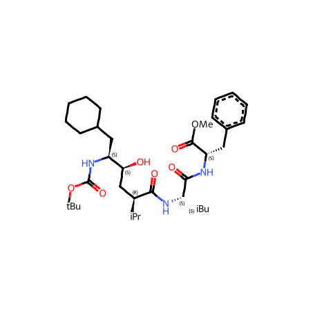 CC[C@H](C)[C@H](NC(=O)[C@H](C[C@H](O)[C@H](CC1CCCCC1)NC(=O)OC(C)(C)C)C(C)C)C(=O)N[C@@H](Cc1ccccc1)C(=O)OC